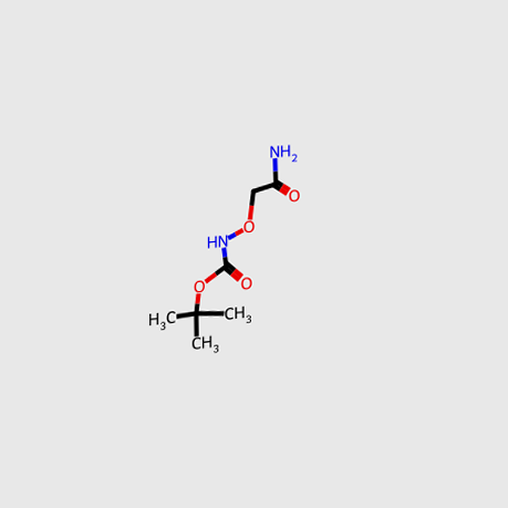 CC(C)(C)OC(=O)NOCC(N)=O